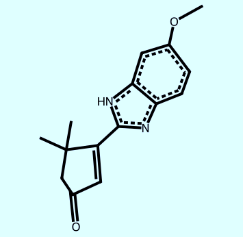 COc1ccc2nc(C3=CC(=O)CC3(C)C)[nH]c2c1